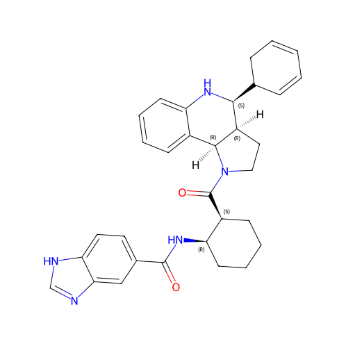 O=C(N[C@@H]1CCCC[C@@H]1C(=O)N1CC[C@@H]2[C@H](C3C=CC=CC3)Nc3ccccc3[C@@H]21)c1ccc2[nH]cnc2c1